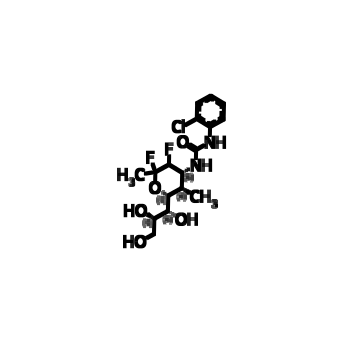 C[C@H]1[C@H]([C@H](O)[C@H](O)CO)OC(C)(F)C(F)[C@@H]1NC(=O)Nc1ccccc1Cl